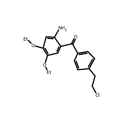 CCOc1cc(N)c(C(=O)c2ccc(CCCl)cc2)cc1OCC